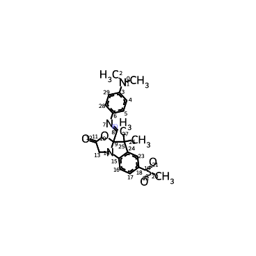 CN(C)c1ccc(/N=C/C23OC(=O)CN2c2ccc(S(C)(=O)=O)cc2C3(C)C)cc1